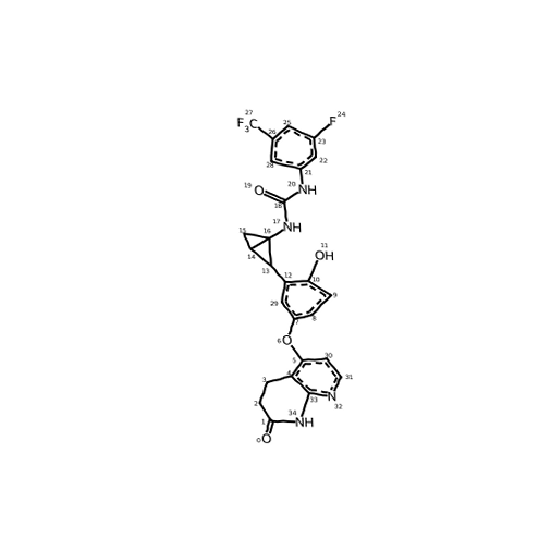 O=C1CCc2c(Oc3ccc(O)c(C4C5CC54NC(=O)Nc4cc(F)cc(C(F)(F)F)c4)c3)ccnc2N1